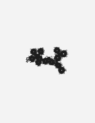 CC1(C)c2cc(-c3cc4c(-c5ccccc5)c(-c5ccccc5)n(-c5ccc(F)cc5)c4c4ccccc34)ccc2-c2ccc(N(c3ccc(-c4ccccc4)cc3)c3ccc(N(c4ccccc4)c4ccccc4)cc3)cc21